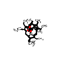 CCc1c(CC)c2n3c1C=c1c(CC)c(CC)c4n1C31n3c(c(CC)c(CC)c3C=c3c(CC)c(CC)c(n31)=C2)C=4